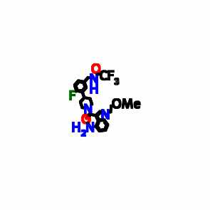 COCCn1cc(C(=O)N2CCC(c3cc(CNC(=O)C(F)(F)F)ccc3F)CC2)c2c(N)cccc21